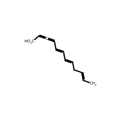 CC=CCC=CC=CC=C=CC(=O)O